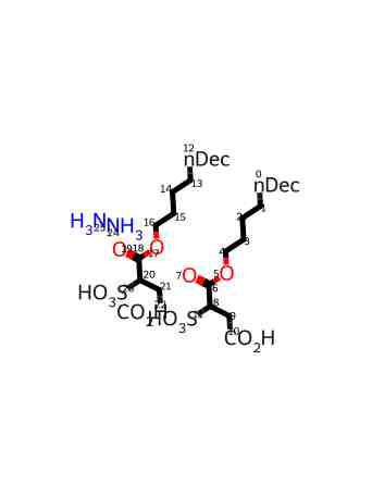 CCCCCCCCCCCCCCOC(=O)C(CC(=O)O)S(=O)(=O)O.CCCCCCCCCCCCCCOC(=O)C(CC(=O)O)S(=O)(=O)O.N.N